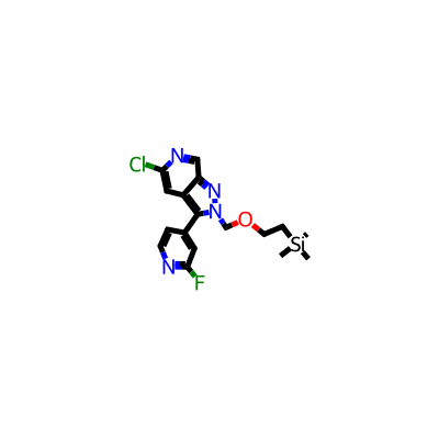 C[Si](C)(C)CCOCn1nc2cnc(Cl)cc2c1-c1ccnc(F)c1